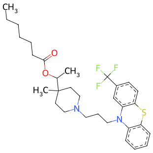 CCCCCCC(=O)OC(C)C1(C)CCN(CCCN2c3ccccc3Sc3ccc(C(F)(F)F)cc32)CC1